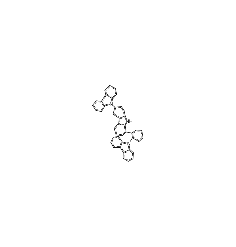 c1ccc(-n2c3ccccc3c3ccccc32)c(-c2cccc3c2[nH]c2ccc(-n4c5ccccc5c5ccccc54)cc23)c1